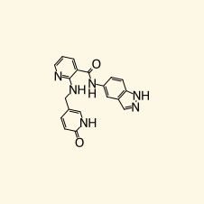 O=C(Nc1ccc2[nH]ncc2c1)c1cccnc1NCc1ccc(=O)[nH]c1